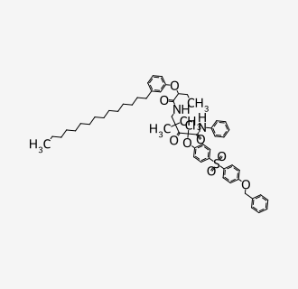 CCCCCCCCCCCCCCCc1cccc(OC(CC)C(=O)NCC(C)(C)C(=O)C(Cl)(Oc2ccc(S(=O)(=O)c3ccc(OCc4ccccc4)cc3)cc2)C(=O)Nc2ccccc2)c1